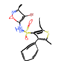 Cc1noc(NS(=O)(=O)c2c(C)sc(C)c2-c2ccccc2)c1Br